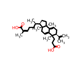 C=C(C)[C@@H]1CC=C2C(=CC[C@]3(C)[C@@H]([C@H](C)CC/C=C(/C)C(=O)O)CC[C@@]23C)[C@@]1(C)CCC(=O)O